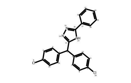 Clc1ccc(C(c2ccc(Cl)cc2)c2nnc(-c3ccccc3)[nH]2)cc1